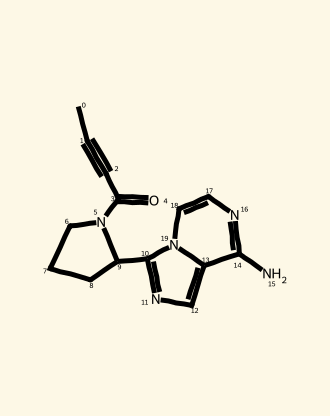 CC#CC(=O)N1CCCC1c1ncc2c(N)nccn12